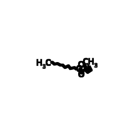 CCCCCCCCCCCOC(=O)C1CCCN1C(C)=O